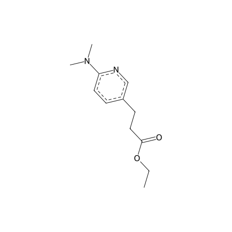 CCOC(=O)CCc1ccc(N(C)C)nc1